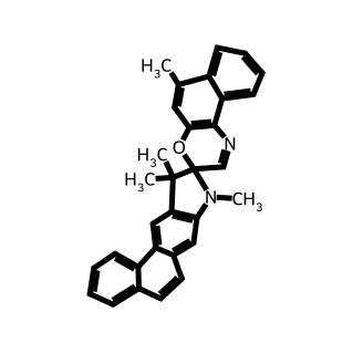 Cc1cc2c(c3ccccc13)N=CC1(O2)N(C)c2cc3ccc4ccccc4c3cc2C1(C)C